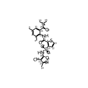 Cc1cc(C)c(NC(=O)c2sccc2S(=O)(=O)Nc2onc(C)c2Cl)c(C(=O)N(C)C)c1